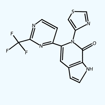 O=c1c2[nH]ccc2cc(-c2ccnc(C(F)(F)F)n2)n1-c1cscn1